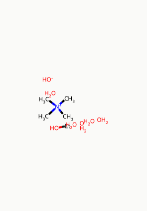 CCO.C[N+](C)(C)C.O.O.O.O.O.[OH-]